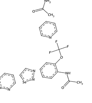 CC(=O)Nc1ccccc1OC(F)(F)F.CC(N)=O.c1c[se]nn1.c1ccncc1.c1ccnnc1